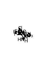 CC(/C(=N/C=N)Nc1ccccn1)N(CC1CC1)C(=O)c1cc(Cl)cc(OC(F)(F)F)c1